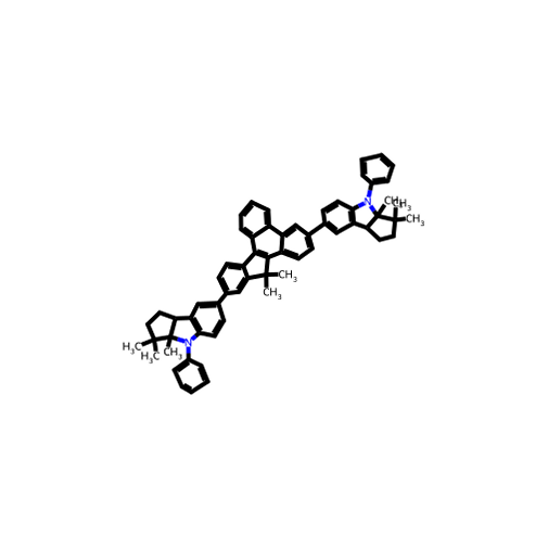 CC1(C)c2cc(-c3ccc4c(c3)C3CCC(C)(C)C3(C)N4c3ccccc3)ccc2-c2c1c1ccc(-c3ccc4c(c3)C3CCC(C)(C)C3(C)N4c3ccccc3)cc1c1ccccc21